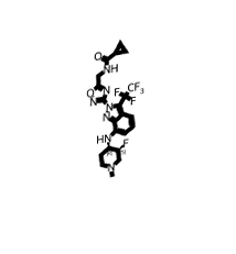 CN1CC[C@@H](Nc2cccc3c(C(F)(F)C(F)(F)F)n(-c4noc(CNC(=O)C5CC5)n4)nc23)[C@@H](F)C1